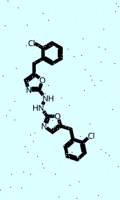 Clc1ccccc1Cc1cnc(NNc2ncc(Cc3ccccc3Cl)o2)o1